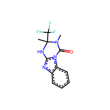 CN1C(=O)n2c(nc3ccccc32)NC1(C)C(F)(F)F